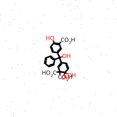 O=C(O)c1cc(C(O)(C2=CC(C(=O)O)(C(=O)O)C(O)(O)C=C2)c2ccccc2)ccc1O